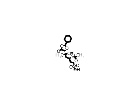 CC(=O)NC(CCS(=O)(=O)O)CC(C)(C)[C@H]1OC(C2CCCCC2)OC1=O